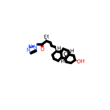 CC[C@H](CCC[C@@H]1CCC[C@H]2[C@H]1CC[C@H]1C[C@H](O)CC[C@@]12C)C(=O)Cn1ccnn1